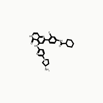 N[C@H]1CCN(c2ccc(Nc3cc(-c4ccc(NC(=O)C5CCCCC5)cc4F)nc4cc[nH]c(=O)c34)nc2)C1